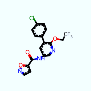 O=C(Nc1cnc(OCC(F)(F)F)c(-c2ccc(Cl)cc2)c1)c1ccno1